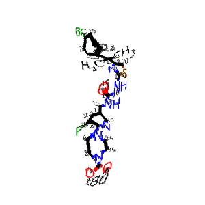 CC(C)(C)OC(=O)N1CCN(c2ncc(CNC(=O)Nc3nc(C(C)(C)c4ccc(Br)cc4)cs3)cc2F)CC1